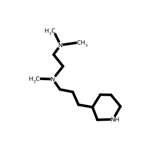 CN(C)CCN(C)CCCC1CCCNC1